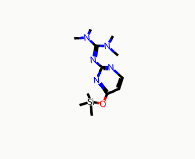 CN(C)C(=Nc1nccc(O[Si](C)(C)C)n1)N(C)C